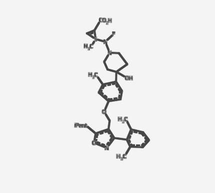 CCCC(C)c1onc(-c2c(C)cccc2C)c1COc1ccc(C2(O)CCN(N(F)S3(C)C=C3C(=O)O)CC2)c(C)c1